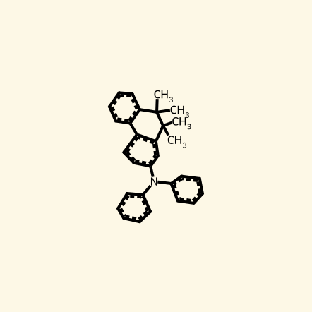 CC1(C)c2ccccc2-c2ccc(N(c3ccccc3)c3ccccc3)cc2C1(C)C